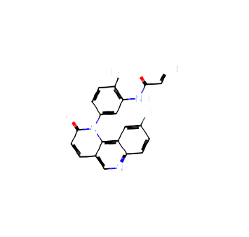 C=CC(=O)Nc1cc(-n2c(=O)ccc3cnc4ccc(Cl)cc4c32)ccc1C